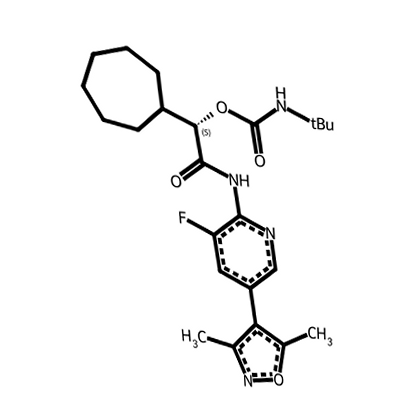 Cc1noc(C)c1-c1cnc(NC(=O)[C@@H](OC(=O)NC(C)(C)C)C2CCCCCC2)c(F)c1